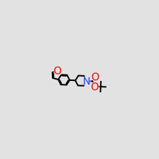 CC(C)(C)OC(=O)N1CCC(c2ccc3ccoc3c2)CC1